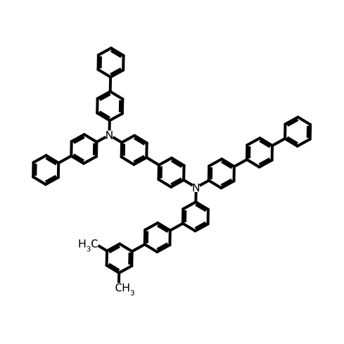 Cc1cc(C)cc(-c2ccc(-c3cccc(N(c4ccc(-c5ccc(-c6ccccc6)cc5)cc4)c4ccc(-c5ccc(N(c6ccc(-c7ccccc7)cc6)c6ccc(-c7ccccc7)cc6)cc5)cc4)c3)cc2)c1